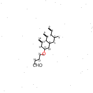 C=CCC(C)CC(CC=C)CC(CC=C)OCCCC=O